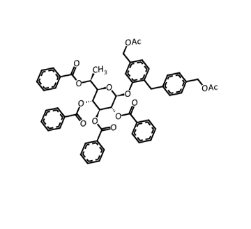 CC(=O)OCc1ccc(Cc2ccc(COC(C)=O)cc2O[C@@H]2O[C@H]([C@H](C)OC(=O)c3ccccc3)[C@@H](OC(=O)c3ccccc3)[C@H](OC(=O)c3ccccc3)[C@H]2OC(=O)c2ccccc2)cc1